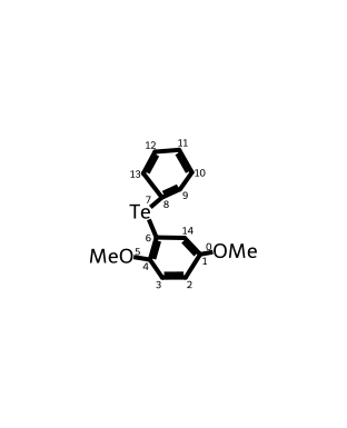 COc1ccc(OC)c([Te]c2ccccc2)c1